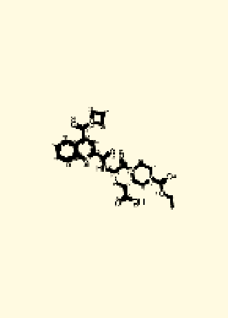 CCOC(=O)N1CCN(C(=O)[C@H](CCC(=O)O)NC(=O)c2cc(C(=O)N3CCC3)c3ccccc3n2)CC1